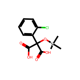 C[Si](C)(C)OC(C(=O)O)(C(=O)O)c1ccccc1Cl